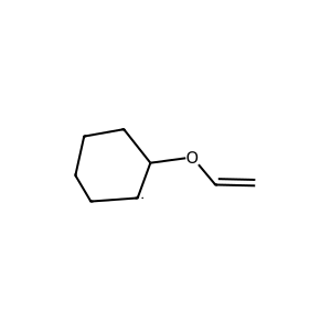 C=COC1[CH]CCCC1